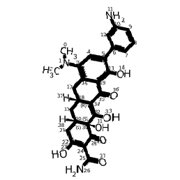 CN(C)c1cc(-c2cccc(N)c2)c(O)c2c1C[C@H]1C[C@H]3CC(O)=C(C(N)=O)C(=O)[C@@]3(O)C(O)=C1C2=O